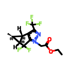 CCOC(=O)Cn1nc(C(F)(F)F)c2c1C(F)(F)[C@@H]1[C@H](C)[C@H]21